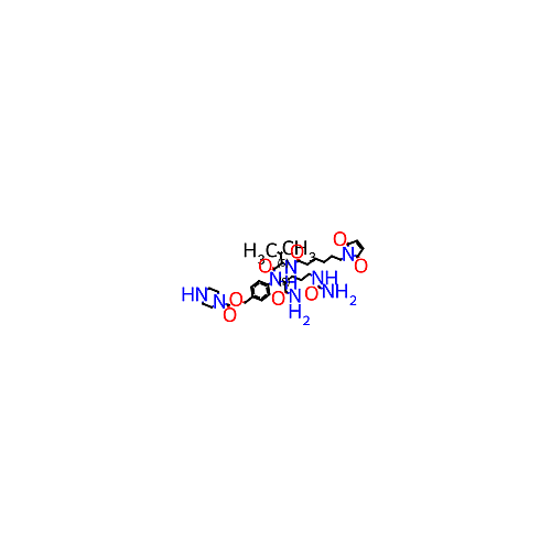 CC(C)[C@H](NC(=O)CCCCCN1C(=O)C=CC1=O)C(=O)N(c1ccc(COC(=O)N2CCNCC2)cc1)[C@@H](CCCNC(N)=O)C(N)=O